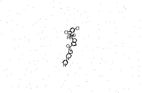 O=C(c1ccc2c(c1)[C@H](NS(=O)(=O)c1cc(Cl)ccc1Cl)CC2)N1CCC2(CCN(c3ccncc3)CC2)C1